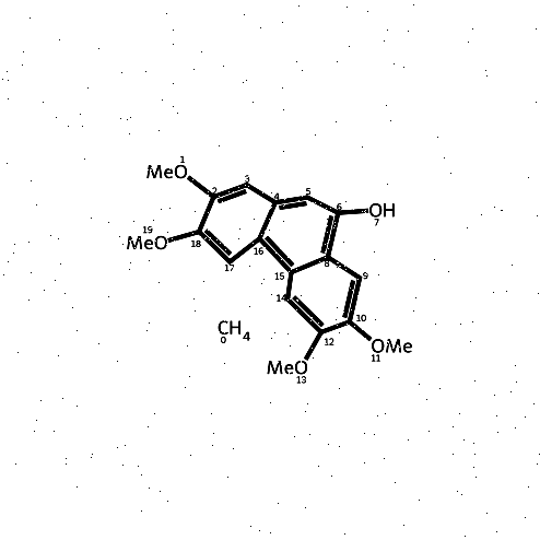 C.COc1cc2cc(O)c3cc(OC)c(OC)cc3c2cc1OC